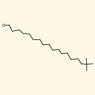 CC(C)(C)CCCCCCCCCCCCCCCC[O]